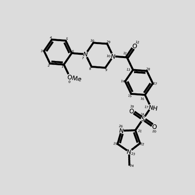 COc1ccccc1N1CCN(C(=O)c2ccc(NS(=O)(=O)c3cn(C)cn3)cc2)CC1